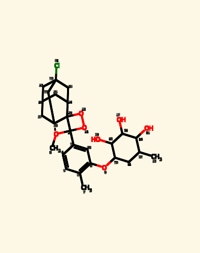 COC1(c2ccc(C)c(OC3CC(C)C(O)C(O)C3O)c2)OOC12C1CC3CC2CC(Cl)(C3)C1